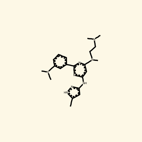 Cc1cc(Nc2cc(N(C)CCN(C)C)nc(-c3cccc(N(C)C)c3)n2)n[nH]1